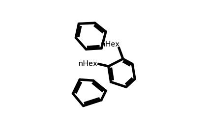 CCCCCCc1ccccc1CCCCCC.c1ccccc1.c1ccccc1